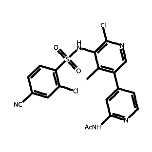 CC(=O)Nc1cc(-c2cnc(Cl)c(NS(=O)(=O)c3ccc(C#N)cc3Cl)c2C)ccn1